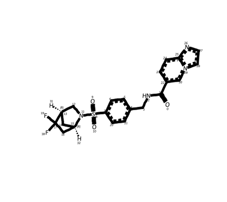 O=C(NCc1ccc(S(=O)(=O)N2C[C@H]3C[C@@H]2CC3(F)F)cc1)c1ccc2nccn2c1